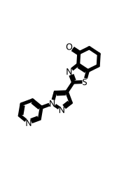 O=C1CCCc2sc(-c3cnn(-c4cccnc4)c3)nc21